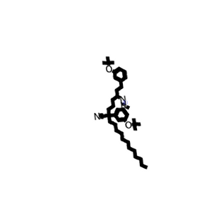 CCCCCCCCCCCCC(C#N)(CCCC(CCc1cccc(OC(C)(C)C)c1)/N=N/C)c1cccc(OC(C)(C)C)c1